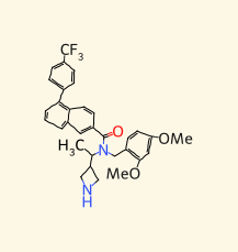 COc1ccc(CN(C(=O)c2ccc3c(-c4ccc(C(F)(F)F)cc4)cccc3c2)C(C)C2CNC2)c(OC)c1